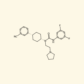 N#Cc1cccc([C@H]2CC[C@@H](N(CCN3CCCC3)C(=O)Nc3cc(F)cc(F)c3)CC2)c1